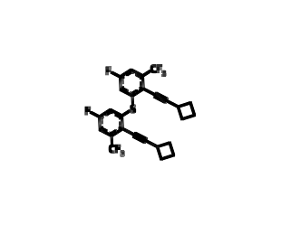 Fc1cc(Sc2cc(F)cc(C(F)(F)F)c2C#CC2CCC2)c(C#CC2CCC2)c(C(F)(F)F)c1